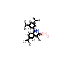 Bc1nc(-c2cc(C(C)C)cc(C(C)C)c2)c2ccc(C(C)C)cc2c1C